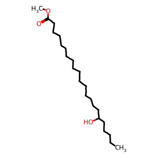 CCCCCC(O)CCCCCCCCCCCCCCCC(=O)OC